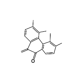 C=C1C(=O)c2ccc(C)c(C)c2-c2c1ccc(C)c2C